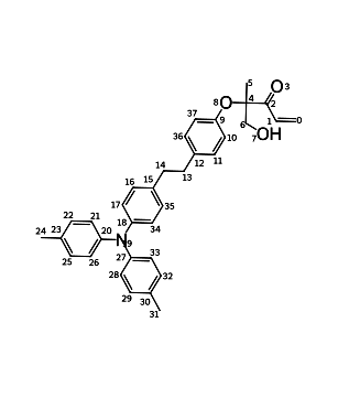 C=CC(=O)C(C)(CO)Oc1ccc(CCc2ccc(N(c3ccc(C)cc3)c3ccc(C)cc3)cc2)cc1